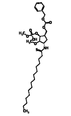 CCCCCCCCCCCCCCCC(=S)N[C@H]1C[C@H](COC(=O)OCc2ccccc2)[C@H](OP(=O)(O)OC)C1OC